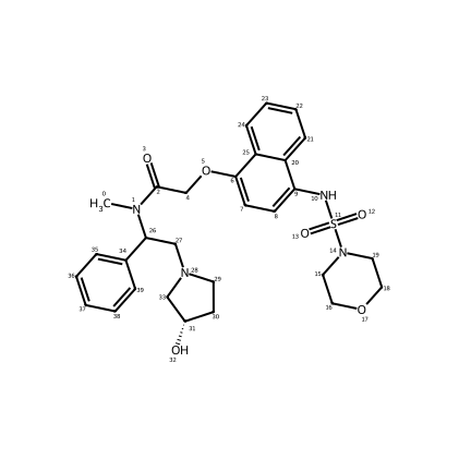 CN(C(=O)COc1ccc(NS(=O)(=O)N2CCOCC2)c2ccccc12)C(CN1CC[C@H](O)C1)c1ccccc1